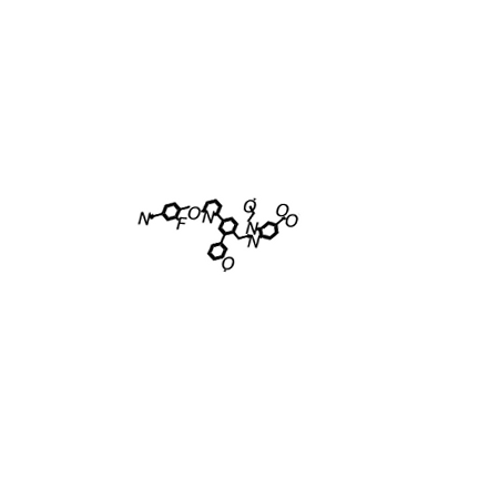 COCCn1c(Cc2ccc(-c3cccc(OCc4ccc(C#N)cc4F)n3)cc2-c2cccc(OC)c2)nc2ccc(C(=O)OC)cc21